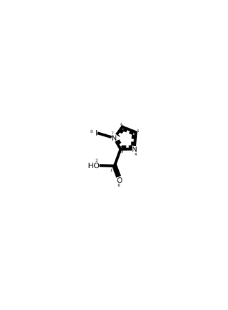 O=C(O)c1nccn1I